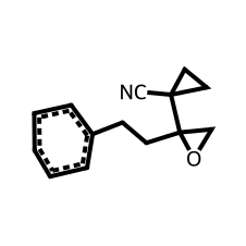 N#CC1(C2(CCc3ccccc3)CO2)CC1